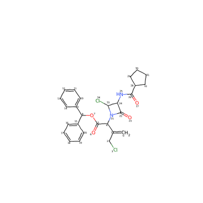 C=C(CCl)C(C(=O)OC(c1ccccc1)c1ccccc1)N1C(=O)C(NC(=O)C2CCCC2)C1Cl